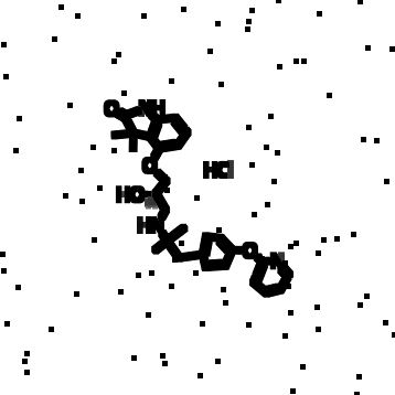 CC(C)(Cc1ccc(Oc2ccccn2)cc1)NC[C@H](O)COc1cccc2c1C(C)(C)C(=O)N2.Cl